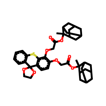 CC1(OC(=O)COc2ccc3c(c2OCC(=O)OC2(C)C4CC5CC(C4)CC2C5)Sc2ccccc2C32OCCO2)C2CC3CC(C2)CC1C3